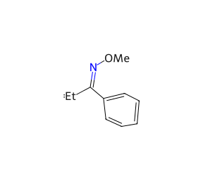 C[C]/C(=N/OC)c1ccccc1